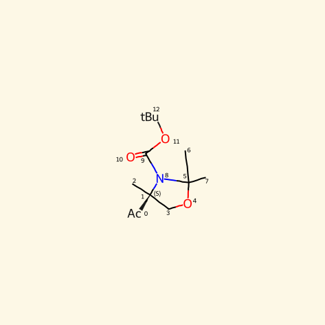 CC(=O)[C@]1(C)COC(C)(C)N1C(=O)OC(C)(C)C